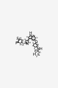 C=CC(=O)Nc1cccc(Oc2cnc3[nH]cc(-c4cnn(Cc5ccc(F)c(F)c5)c4)c3n2)c1